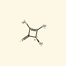 CCCC1=C(S)[C@@H](S)C1=S